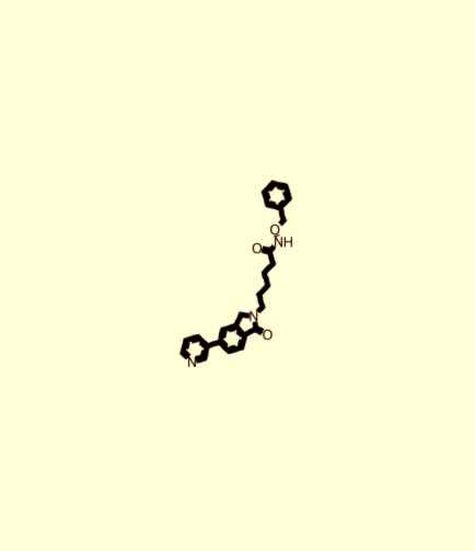 O=C(CCCCCN1Cc2cc(-c3cccnc3)ccc2C1=O)NOCc1ccccc1